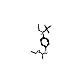 CCOC(C)Oc1ccc([C@@H](CI)C(C)(C)C)cc1